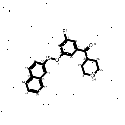 O=C(c1cc(F)cc(OSc2ccc3ccccc3c2)c1)C1CCOCC1